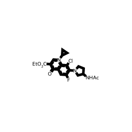 CCOC(=O)c1cn(C2CC2)c2c(Cl)c(N3CCC(NC(C)=O)C3)c(F)cc2c1=O